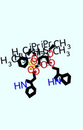 Cc1ccc(S(=O)(=O)C(OCCc2c[nH]c3ccccc23)[C@H]2O[C@H](OCCc3c[nH]c4ccccc34)[C@H](O[SiH2]C(C)(C)C(C)C)C[C@@H]2O[SiH2]C(C)(C)C(C)C)cc1